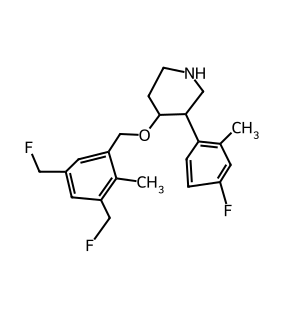 Cc1cc(F)ccc1C1CNCCC1OCc1cc(CF)cc(CF)c1C